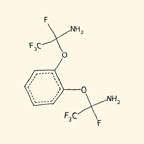 NC(F)(Oc1ccccc1OC(N)(F)C(F)(F)F)C(F)(F)F